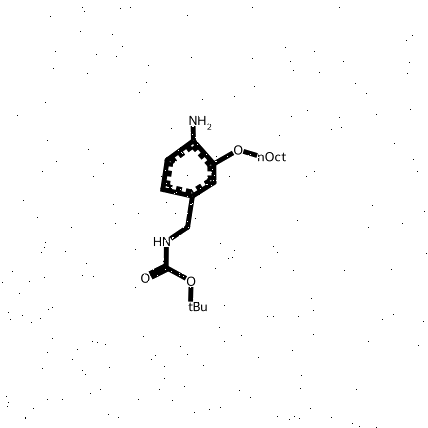 CCCCCCCCOc1cc(CNC(=O)OC(C)(C)C)ccc1N